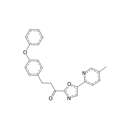 Cc1ccc(-c2cnc(C(=O)CCc3ccc(Oc4ccccc4)cc3)o2)nc1